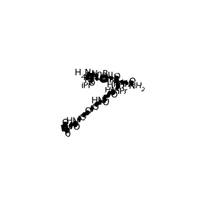 CCCCc1nc2c(N)nnc(OC(C)C)c2n1C[C@H]1CC[C@H](CNC(=O)[C@H](CCCNC(N)=O)NC(=O)[C@@H](NC(=O)CCCC(=O)NCCOCCOCCOCCNC(=O)CCN2C(=O)C=CC2=O)C(C)C)CC1